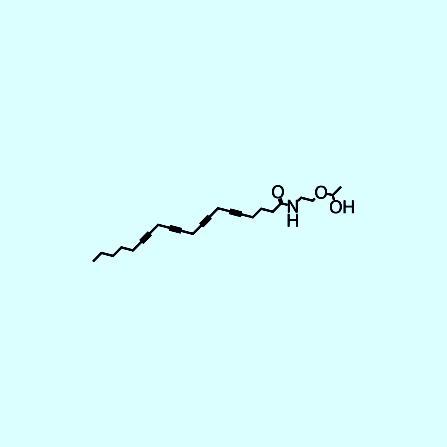 CCCCCC#CCC#CCC#CCC#CCCCC(=O)NCCOC(C)O